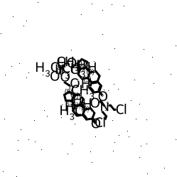 CC(C)(C)C(=O)OCC(=O)[C@H]1CC[C@H]2[C@@H]3CCC4=CC(=O)CC[C@]4(C)[C@H]3CC[C@]12C.C[C@]12CC[C@@H]3c4ccc(OC(=O)N(CCCl)CCCl)cc4CC[C@H]3[C@@H]1CC[C@@H]2O